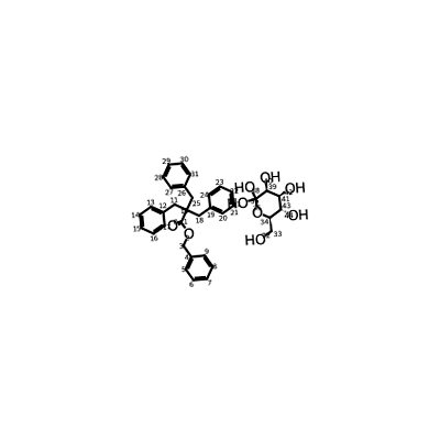 O=C(OCc1ccccc1)C(Cc1ccccc1)(Cc1ccccc1)Cc1ccccc1.OC[C@H]1OC(O)(O)[C@@H](O)[C@@H](O)[C@@H]1O